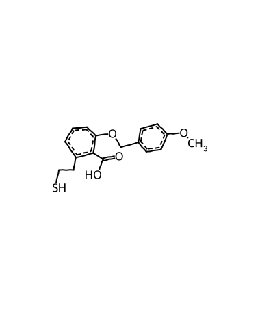 COc1ccc(COc2cccc(CCS)c2C(=O)O)cc1